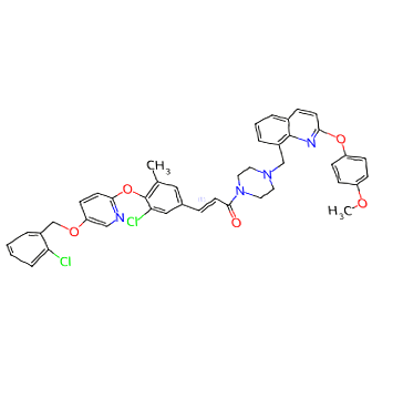 COc1ccc(Oc2ccc3cccc(CN4CCN(C(=O)/C=C/c5cc(C)c(Oc6ccc(OCc7ccccc7Cl)cn6)c(Cl)c5)CC4)c3n2)cc1